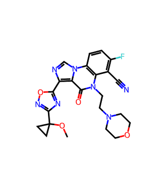 COC1(c2noc(-c3ncn4c3c(=O)n(CCN3CCOCC3)c3c(C#N)c(F)ccc34)n2)CC1